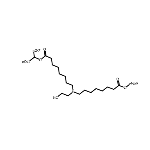 CCCCCCCCCOC(=O)CCCCCCCN(CCC#N)CCCCCCCC(=O)OC(CCCCCCCC)CCCCCCCC